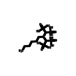 CCCCCCN(C(P(=O)(O)O)P(=O)(O)O)C(P(=O)(O)O)P(=O)(O)O